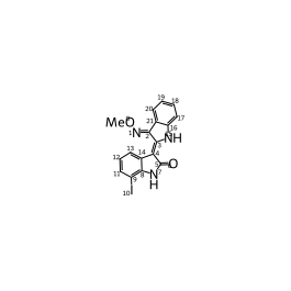 CO/N=C1/C(=C2/C(=O)Nc3c(I)cccc32)Nc2ccccc21